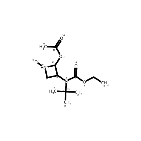 CCOC(=O)N(C1C[NH+]([O-])C1OC(C)=O)C(C)(C)C